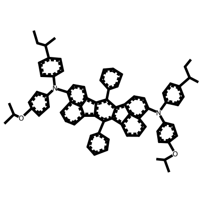 CCC(C)c1ccc(N(c2ccc(OC(C)C)cc2)c2ccc3c4c(-c5ccccc5)c5c6ccc(N(c7ccc(OC(C)C)cc7)c7ccc(C(C)CC)cc7)c7cccc(c5c(-c5ccccc5)c4c4cccc2c43)c76)cc1